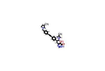 N#CC1CCN(Cc2ccc(C#Cc3ccc(C(Cc4nc[nH]c(=O)c4O)CN4CC(C#N)C4)cc3)cc2)C1